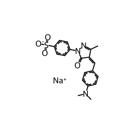 CC1=NN(c2ccc(S(=O)(=O)[O-])cc2)C(=O)C1=Cc1ccc(N(C)C)cc1.[Na+]